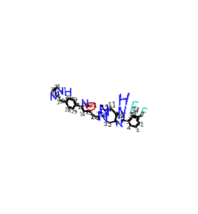 Fc1cccc(-c2nc3c([nH]2)C=NN(Cc2cc(-c4ccc(Cc5ncc[nH]5)cc4)no2)C3)c1F